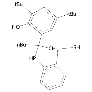 CCCCC(C)(Pc1ccccc1CS)c1cc(C(C)(C)C)cc(C(C)(C)C)c1O